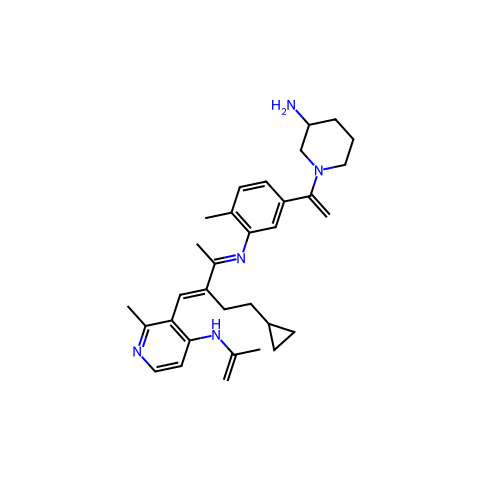 C=C(C)Nc1ccnc(C)c1/C=C(CCC1CC1)/C(C)=N/c1cc(C(=C)N2CCCC(N)C2)ccc1C